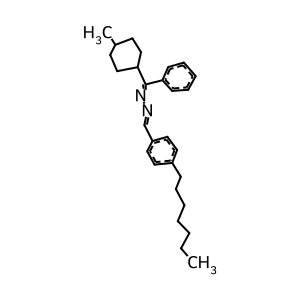 CCCCCCCc1ccc(C=NN=C(c2ccccc2)C2CCC(C)CC2)cc1